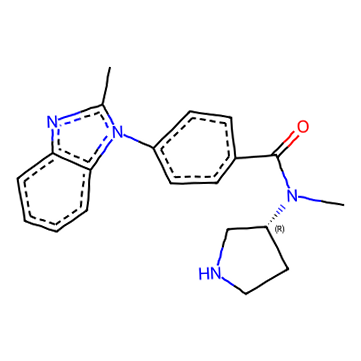 Cc1nc2ccccc2n1-c1ccc(C(=O)N(C)[C@@H]2CCNC2)cc1